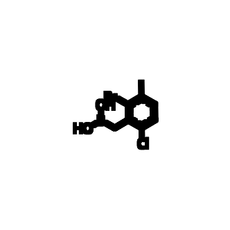 Cc1ccc(Cl)c(CB(O)O)c1Br